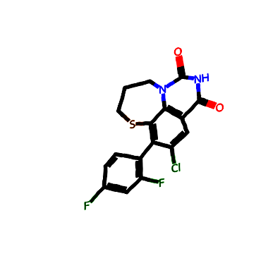 O=c1[nH]c(=O)n2c3c(c(-c4ccc(F)cc4F)c(Cl)cc13)SCCC2